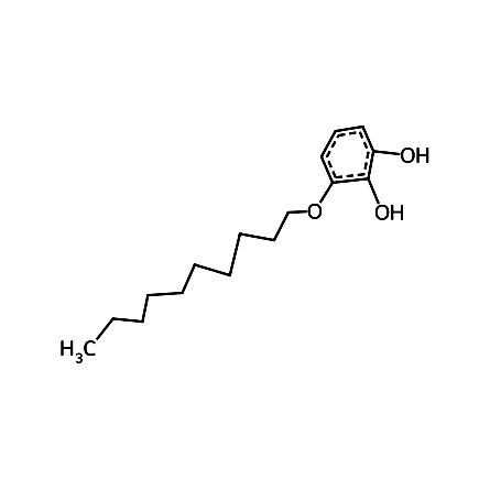 CCCCCCCCCCOc1cccc(O)c1O